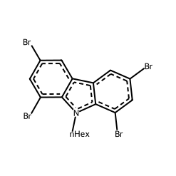 CCCCCCn1c2c(Br)cc(Br)cc2c2cc(Br)cc(Br)c21